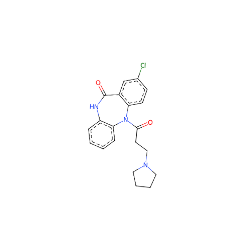 O=C1Nc2ccccc2N(C(=O)CCN2CCCC2)c2ccc(Cl)cc21